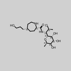 C[C@H](Cl)[C@@H](NC(=O)[C@@H]1CC[C@H](CCCO)CCN1)[C@H]1O[C@H](C)[C@H](O)[C@@H](O)[C@H]1O